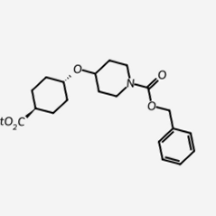 CCOC(=O)[C@H]1CC[C@H](OC2CCN(C(=O)OCc3ccccc3)CC2)CC1